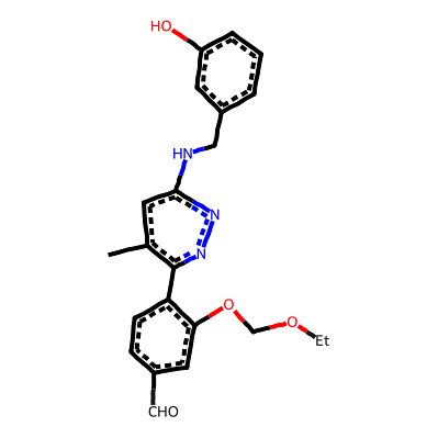 CCOCOc1cc(C=O)ccc1-c1nnc(NCc2cccc(O)c2)cc1C